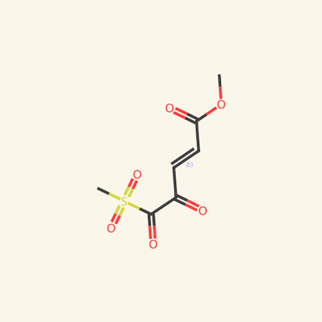 COC(=O)/C=C/C(=O)C(=O)S(C)(=O)=O